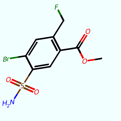 COC(=O)c1cc(S(N)(=O)=O)c(Br)cc1CF